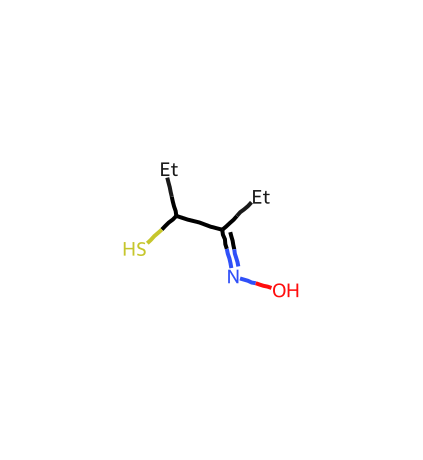 CC/C(=N\O)C(S)CC